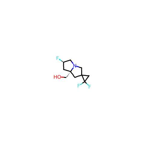 OC[C@]12C[C@@H](F)CN1CC1(CC1(F)F)C2